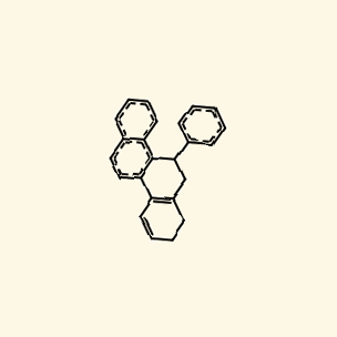 C1=CC2=C(CC1)CC(c1ccccc1)c1c2ccc2ccccc12